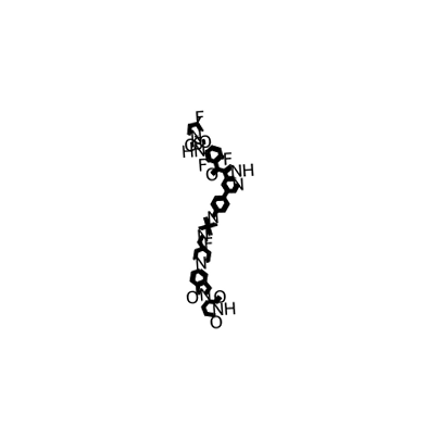 O=C1CCC(N2Cc3cc(N4CCC(F)(CN5CC6(C5)CN(c5ccc(-c7cnc8[nH]cc(C(=O)c9c(F)ccc(NS(=O)(=O)N%10CC[C@@H](F)C%10)c9F)c8c7)cc5)C6)CC4)ccc3C2=O)C(=O)N1